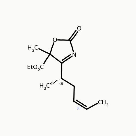 C/C=C\C[C@H](C)C1=NC(=O)OC1(C)C(=O)OCC